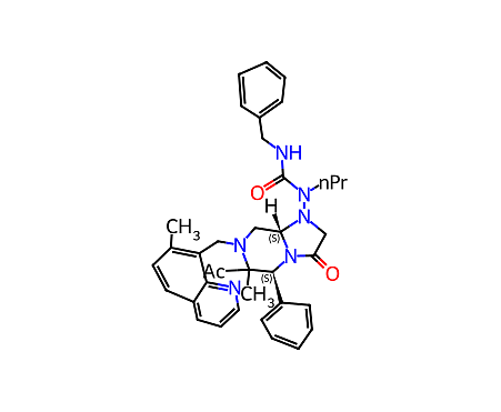 CCCN(C(=O)NCc1ccccc1)N1CC(=O)N2[C@@H](c3ccccc3)C(C)(C(C)=O)N(Cc3c(C)ccc4cccnc34)C[C@@H]21